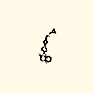 O=C1CO[C@H]2CCCC[C@@H]2N1C1CCN(C2CC(=COCC3CC3)C2)CC1